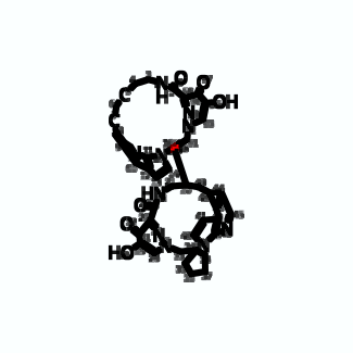 O=C1NCCCCCc2cnc3c(ccn3C3(CCC(C4CNC(=O)c5nn(cc(O)c5=O)CC5(CCCC5)n5ccc6c7c(cnc65)C7C4)C3)Cn3cc(O)c(=O)c1n3)c2